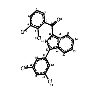 O=C(c1cccc(Cl)c1Cl)c1nc(-c2cc(Cl)cc(Cl)c2)c2ccccn12